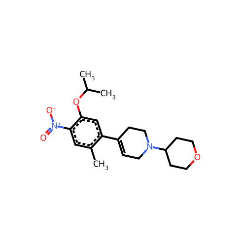 Cc1cc([N+](=O)[O-])c(OC(C)C)cc1C1=CCN(C2CCOCC2)CC1